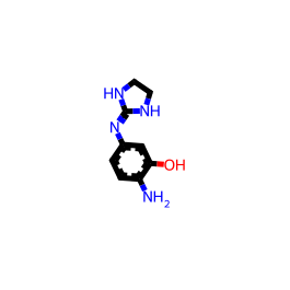 Nc1ccc(N=C2NCCN2)cc1O